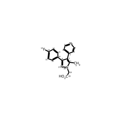 Cc1c(-c2ccncc2)c(-c2ccc(F)cc2)nn1CC(=O)O